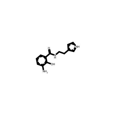 Nc1cccc(C(=O)NCCc2cc[nH]c2)c1O